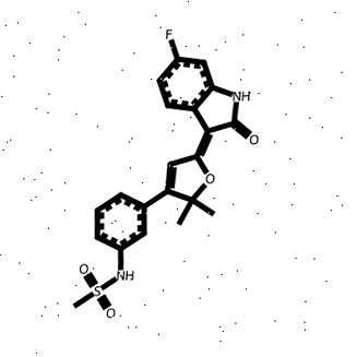 CC1(C)OC(=C2C(=O)Nc3cc(F)ccc32)C=C1c1cccc(NS(C)(=O)=O)c1